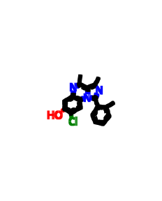 Cc1ccccc1-c1nc(C)c2c(C)nc3cc(O)c(Cl)cc3n12